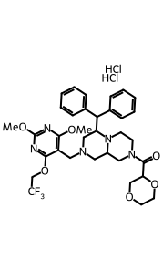 COc1nc(OC)c(CN2CC3CN(C(=O)C4COCCO4)CCN3C(C(c3ccccc3)c3ccccc3)C2)c(OCC(F)(F)F)n1.Cl.Cl